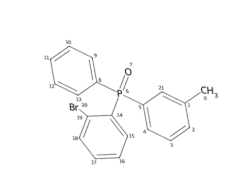 Cc1cccc(P(=O)(c2ccccc2)c2ccccc2Br)c1